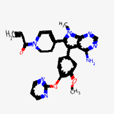 C=CC(=O)N1CC=C(c2c(-c3ccc(Oc4ncccn4)c(OC)c3)c3c(N)ncnc3n2C)CC1